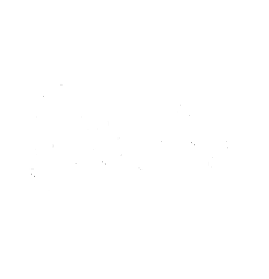 C/C(=N\OC(C)(C)C)c1cc(Cl)c(Nc2nc3ccncc3c3c(=O)[nH]ccc23)c(Cl)c1